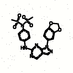 CS(=O)(=O)N(c1ccc(Nc2ncc3cnn(-c4ccc5c(c4)OCO5)c3n2)cc1)S(C)(=O)=O